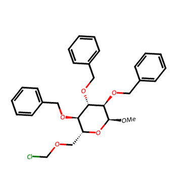 CO[C@H]1O[C@H](COCCl)[C@@H](OCc2ccccc2)[C@H](OCc2ccccc2)[C@H]1OCc1ccccc1